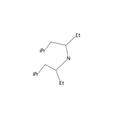 CCC(CC(C)C)[N]C(CC)CC(C)C